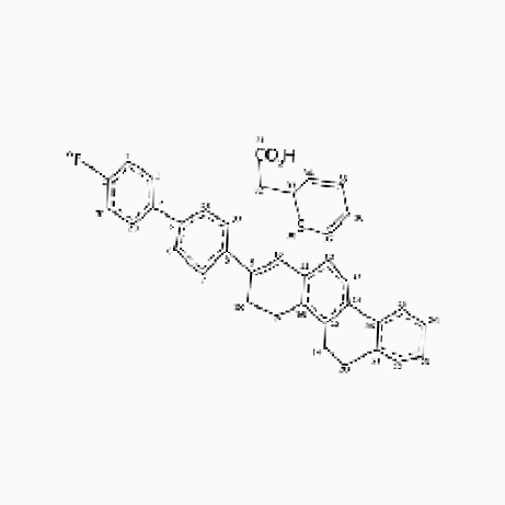 Fc1ccc(-c2ccc(C3=Cc4ccc5c(c4CC3)CCc3ccccc3-5)cc2)cc1.O=C(O)CC1C=CC=CS1